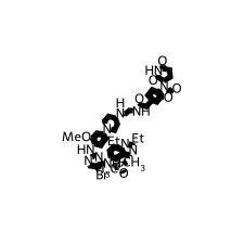 CCc1ncc2c(P(C)(C)=O)c(Nc3nc(Nc4cc(CC)c(N5CCC(NCCNC(=O)Cc6ccc7c(c6)oc(=O)n7C6CCC(=O)NC6=O)CC5)cc4OC)ncc3Br)ccc2n1